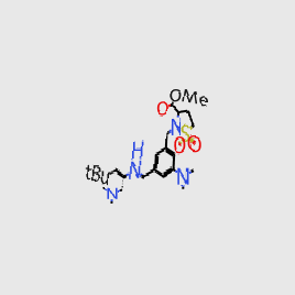 COC(=O)C1CCS(=O)(=O)N1Cc1cc(CN[C@H](CN(C)C)CC(C)(C)C)cc(N(C)C)c1